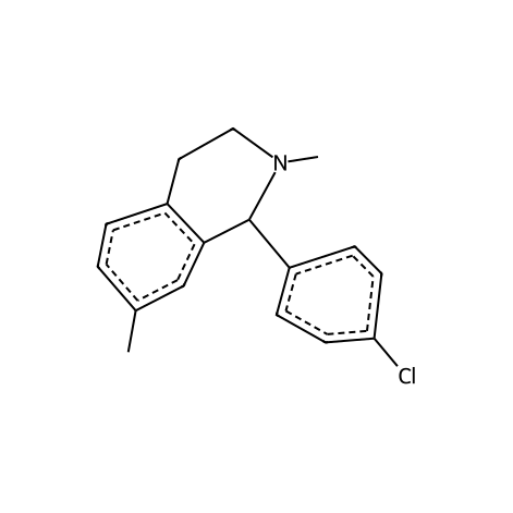 Cc1ccc2c(c1)C(c1ccc(Cl)cc1)N(C)CC2